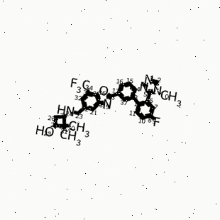 Cn1cnnc1-c1cc(F)ccc1-c1cccc(-c2nc3cc(CNC4CC(O)C4(C)C)cc(C(F)(F)F)c3o2)c1